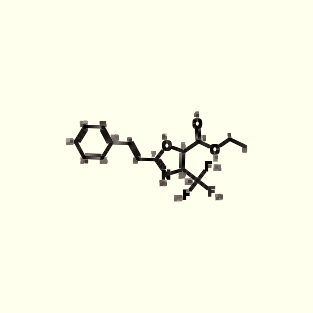 CCOC(=O)c1oc(C=Cc2ccccc2)nc1C(F)(F)F